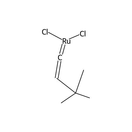 CC(C)(C)C=[C]=[Ru]([Cl])[Cl]